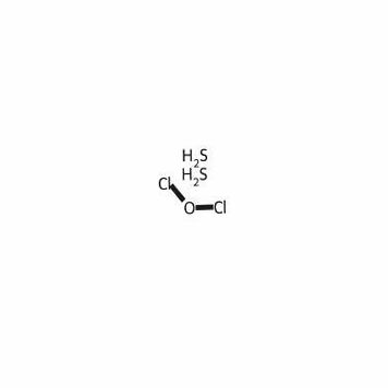 ClOCl.S.S